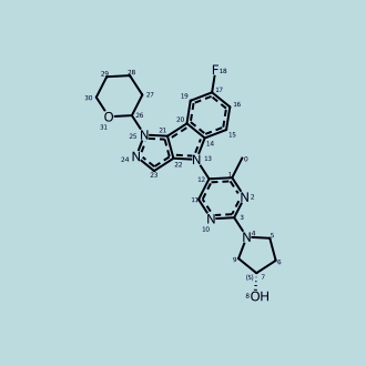 Cc1nc(N2CC[C@H](O)C2)ncc1-n1c2ccc(F)cc2c2c1cnn2C1CCCCO1